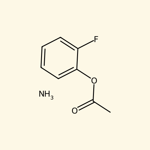 CC(=O)Oc1ccccc1F.N